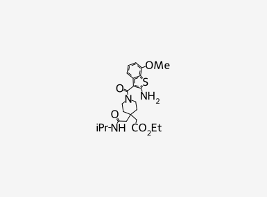 CCOC(=O)CC1(CC(=O)NC(C)C)CCN(C(=O)c2c(N)sc3c(OC)cccc23)CC1